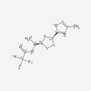 Cc1coc([C@H]2CC[C@@H](N(C)OC(=O)C(F)(F)F)C2)n1